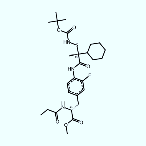 CCC(=O)N[C@H](Cc1ccc(NC(=O)[C@](C)(SNC(=O)OC(C)(C)C)C2CCCCC2)c(F)c1)C(=O)OC